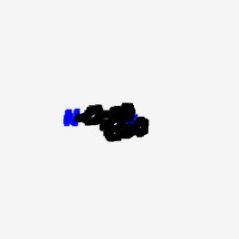 CC1(C)c2ccccc2C2(c3ccccc3-n3c4ccccc4c4cccc2c43)c2cccc(-c3ccc(C#N)cc3)c21